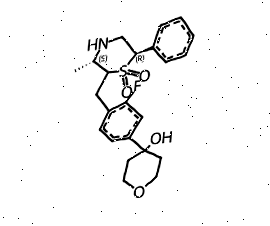 C[C@@H]1NC[C@@H](c2ccccc2)S(=O)(=O)C1Cc1ccc(C2(O)CCOCC2)cc1F